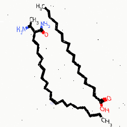 CCCCCCCC/C=C\CCCCCCCCCCC(C(N)=O)C(C)N.CCCCCCCCCCCCCCCCCC(=O)O